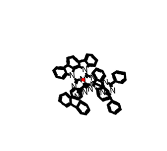 c1ccc(-c2nc(-c3ccccc3)nc(-c3nc(-c4ccccc4)nc(-n4c5ccccc5c5ccc6c7ccccc7n(-c7nc(-n8c9ccccc9c9ccccc98)nc(-n8c9ccccc9c9ccccc98)n7)c6c54)n3)n2)cc1